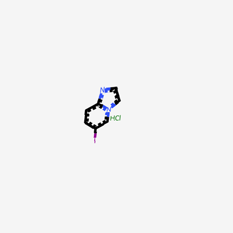 Cl.Ic1ccc2nccn2c1